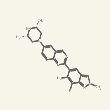 C[C@@H]1CN(c2ccc3nc(-c4cc5cn(C)nc5c(F)c4O)ncc3c2)C[C@H](C)N1